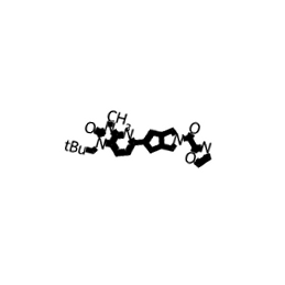 Cn1c(=O)n(CC(C)(C)C)c2ccc(C3=CC4CN(C(=O)c5ncco5)CC4C3)nc21